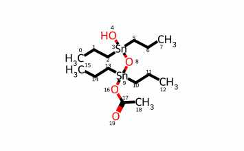 CC[CH2][Sn]([OH])([CH2]CC)[O][Sn]([CH2]CC)([CH2]CC)[O]C(C)=O